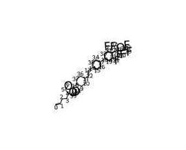 C=CCCC12COC(C3CCC(/C=C/c4ccc(-c5cc(F)c(C(F)(F)OC(F)(F)F)c(F)c5)cc4)CC3)(OC1)O2